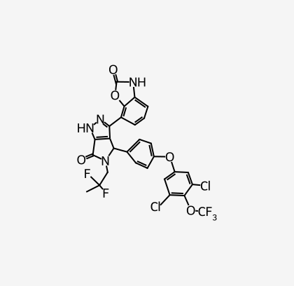 CC(F)(F)CN1C(=O)c2[nH]nc(-c3cccc4[nH]c(=O)oc34)c2C1c1ccc(Oc2cc(Cl)c(OC(F)(F)F)c(Cl)c2)cc1